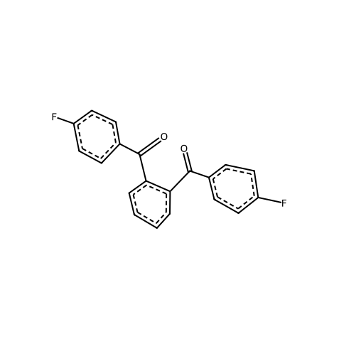 O=C(c1ccc(F)cc1)c1ccccc1C(=O)c1ccc(F)cc1